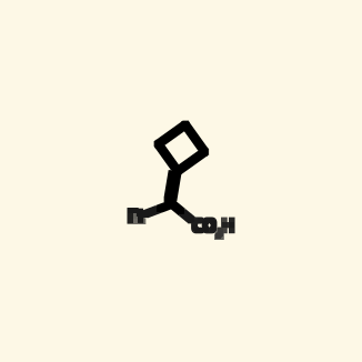 CCC(C(=O)O)=C1CCC1